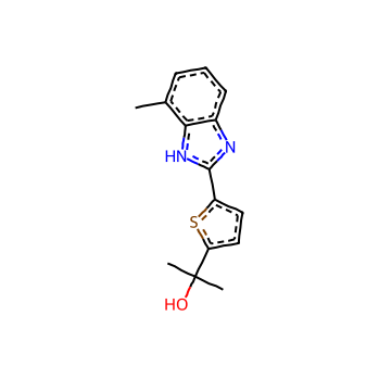 Cc1cccc2nc(-c3ccc(C(C)(C)O)s3)[nH]c12